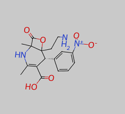 CC1=C(C(=O)O)[C@@H](c2cccc([N+](=O)[O-])c2)C2(CCN)OC(=O)C2(C)N1